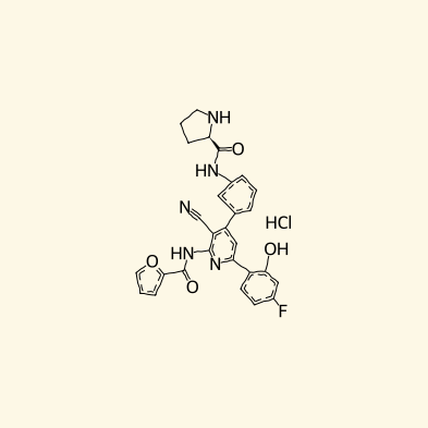 Cl.N#Cc1c(-c2cccc(NC(=O)[C@H]3CCCN3)c2)cc(-c2ccc(F)cc2O)nc1NC(=O)c1ccco1